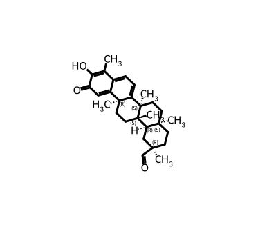 CC1=C(O)C(=O)C=C2C1=CC=C1[C@@]2(C)CC[C@@]2(C)[C@@H]3C[C@](C)(C=O)CC[C@]3(C)CC[C@]12C